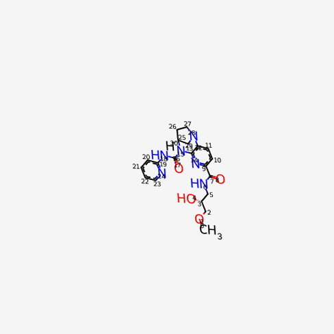 COC[C@H](O)CNC(=O)c1ccc2c(n1)N(C(=O)Nc1ccccn1)[C@H]1CCN2C1